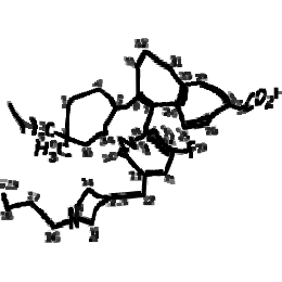 CC1(C)CCC(C2=C(c3ncc(C=C4CN(CCCF)C4)cc3F)c3ccc(C(=O)O)cc3CCC2)CC1